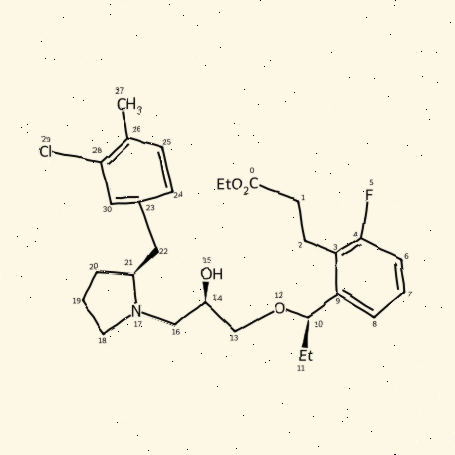 CCOC(=O)CCc1c(F)cccc1[C@@H](CC)OC[C@H](O)CN1CCC[C@H]1Cc1ccc(C)c(Cl)c1